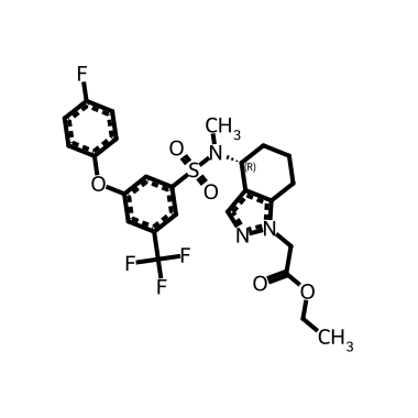 CCOC(=O)Cn1ncc2c1CCC[C@H]2N(C)S(=O)(=O)c1cc(Oc2ccc(F)cc2)cc(C(F)(F)F)c1